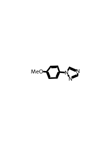 [CH2]Oc1ccc(-n2cncn2)cc1